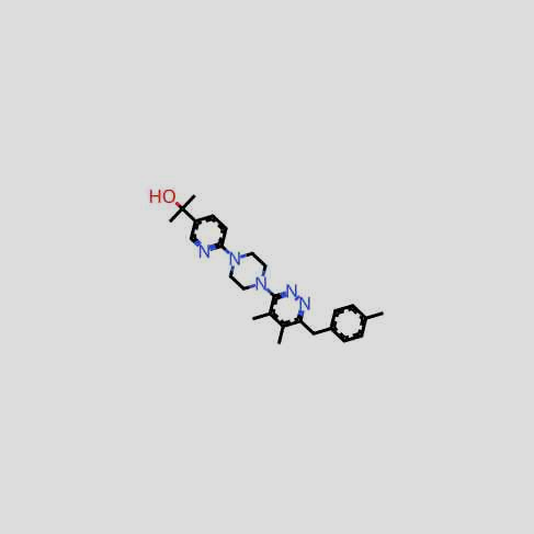 Cc1ccc(Cc2nnc(N3CCN(c4ccc(C(C)(C)O)cn4)CC3)c(C)c2C)cc1